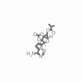 CC(C)C(=O)OC1[C@H]2O[C@@](C)(c3ccc4c(N)ncnn34)[C@@H]3OC(=O)O[C@]123